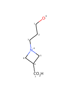 [O]CCCN1CC(C(=O)O)C1